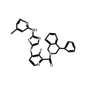 Cc1ccnc(Nc2ncc(Sc3ccnc(C(=O)N4Cc5ccccc5C(c5ccccc5)C4)c3F)s2)c1